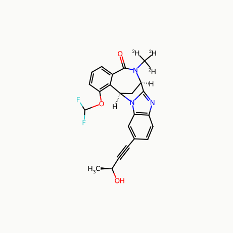 [2H]C([2H])([2H])N1C(=O)c2cccc(OC(F)F)c2[C@H]2C[C@@H]1c1nc3ccc(C#C[C@H](C)O)cc3n12